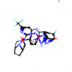 CC1=CC(Nc2cc(C(F)(F)F)nc(N3CC4CCC(C3)N4C(=O)c3ccc(-n4cc(F)cn4)nn3)n2)N(C)N1